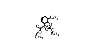 CCOC(=O)NC1C=CCC(C)C1OC(=O)OC